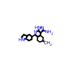 C=C1CCc2c(-c3ccc4[nH]ccc4c3)nc3[nH]nc(N)c3c2C1